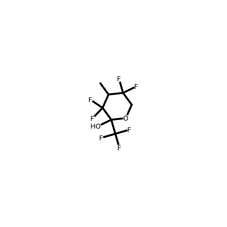 CC1C(F)(F)COC(O)(C(F)(F)F)C1(F)F